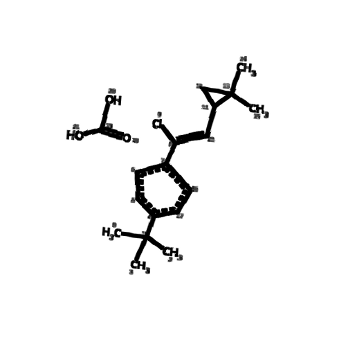 CC(C)(C)c1ccc(C(Cl)=CC2CC2(C)C)cc1.O=C(O)O